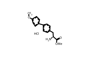 COC(=O)[C@@H](N)Cc1ccc(-c2ccc(OC(F)(F)F)cc2)cc1.Cl